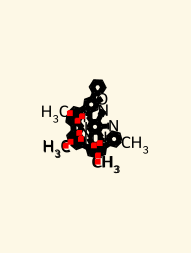 Cc1ccc2c(c1)c1cc(C)ccc1n2-c1c(C#N)c(C#N)c(-n2c3ccccc3c3cc4c(cc32)oc2ccccc24)c(-n2c3ccc(C)cc3c3cc(C)ccc32)c1-n1c2ccc(C)cc2c2cc(C)ccc21